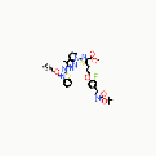 COC(=O)c1nc(N2CCCc3c2nnc(/N=c2\sc4ccccc4n2COCC[Si](C)(C)C)c3C)sc1CCCOc1ccc(CCN(C)C(=O)OC(C)(C)C)cc1F